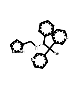 OC(c1cccnc1)(c1cccnc1)[C@H](NCc1ccn[nH]1)c1ccccc1